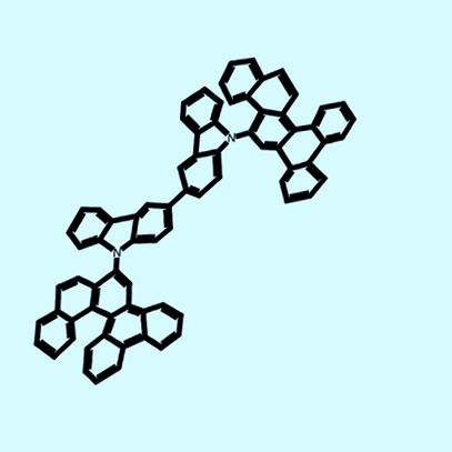 c1ccc2c(c1)ccc1c2c(-n2c3ccccc3c3cc(-c4ccc5c(c4)c4ccccc4n5-c4cc5c6ccccc6c6ccccc6c5c5c4ccc4ccccc45)ccc32)cc2c3ccccc3c3ccccc3c21